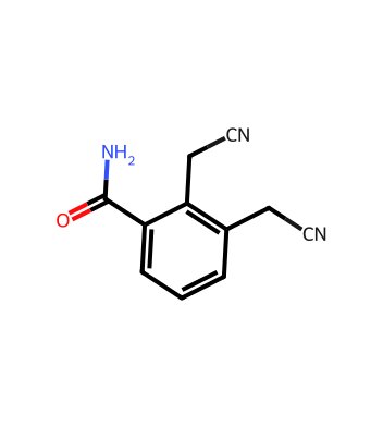 N#CCc1cccc(C(N)=O)c1CC#N